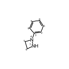 c1ccc(N2CCN2)cc1